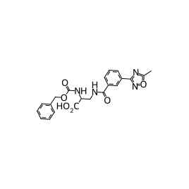 Cc1nc(-c2cccc(C(=O)NCC(NC(=O)OCc3ccccc3)C(=O)O)c2)no1